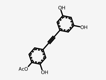 CC(=O)Oc1ccc(C#Cc2cc(O)cc(O)c2)cc1O